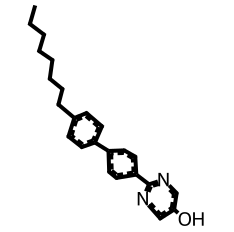 CCCCCCCCc1ccc(-c2ccc(-c3ncc(O)cn3)cc2)cc1